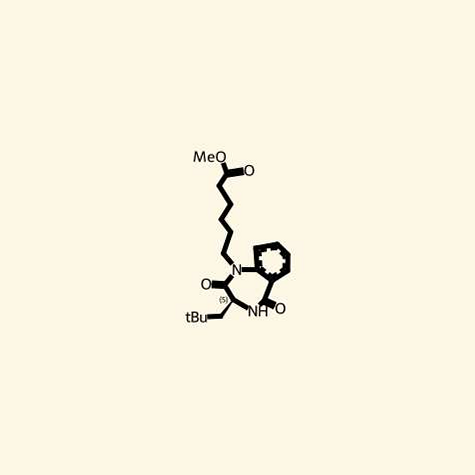 COC(=O)CCCCCN1C(=O)[C@H](CC(C)(C)C)NC(=O)c2ccccc21